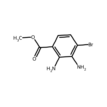 COC(=O)c1ccc(Br)c(N)c1N